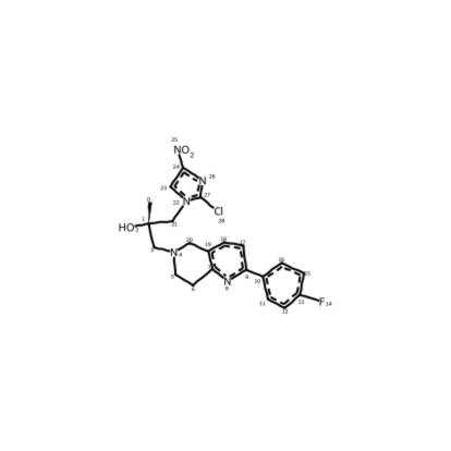 C[C@](O)(CN1CCc2nc(-c3ccc(F)cc3)ccc2C1)Cn1cc([N+](=O)[O-])nc1Cl